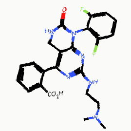 CN(C)CCNc1nc(-c2ccccc2C(=O)O)c2c(n1)N(c1c(F)cccc1F)C(=O)NC2